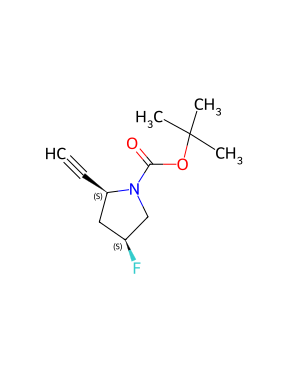 C#C[C@@H]1C[C@H](F)CN1C(=O)OC(C)(C)C